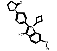 CC(C)Oc1ccc2c(C#N)c(-c3ccc(N4CCCC4=O)cc3)n(C3CCC3)c2c1